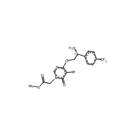 CC(C)(C)OC(=O)Cn1cnc(OC[C@@H](N)c2ccc(C(F)(F)F)cc2)c(Br)c1=O